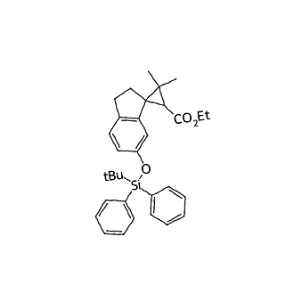 CCOC(=O)C1C(C)(C)C12CCc1ccc(O[Si](c3ccccc3)(c3ccccc3)C(C)(C)C)cc12